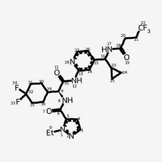 CCn1nccc1C(=O)N[C@H](C(=O)Nc1cc(C(NC(=O)CCC(F)(F)F)C2CC2)ccn1)C1CCC(F)(F)CC1